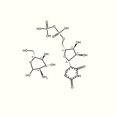 N[C@H]1C(O)O[C@H](CO)[C@@H](O)[C@@H]1O.O=c1ccn([C@@H]2O[C@H](COP(=O)(O)OP(=O)(O)O)[C@@H](O)[C@H]2O)c(=O)[nH]1